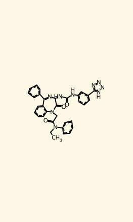 CCN(C(=O)CN1C(=O)C(NC(=O)Nc2cccc(-c3nnn[nH]3)c2)N=C(c2ccccc2)c2ccccc21)c1ccccc1